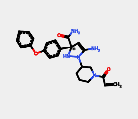 C=CC(=O)N1CCCC(N2N[C@@](C(N)=O)(c3ccc(Oc4ccccc4)cc3)C=C2N)C1